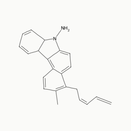 C=C/C=C\Cc1c(C)ccc2c3c(ccc12)N(N)C1C=CC=CC31